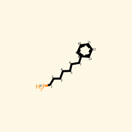 PCCCCCCCc1ccccc1